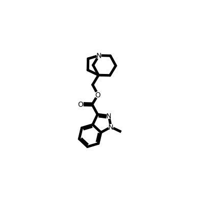 Cn1nc(C(=O)OCC23CCCN(CC2)C3)c2ccccc21